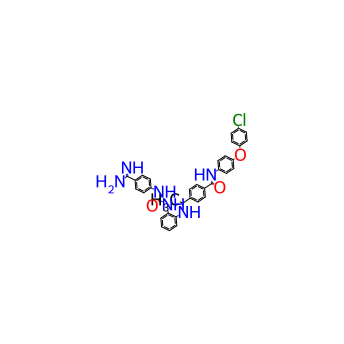 CC(Nc1ccccc1NC(=O)Nc1ccc(C(=N)N)cc1)c1ccc(C(=O)Nc2ccc(Oc3ccc(Cl)cc3)cc2)cc1